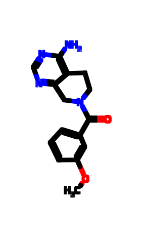 COc1cccc(C(=O)N2CCc3c(N)ncnc3C2)c1